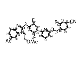 COCCn1c(Cc2cc(F)c(-c3cccc(OCc4ccc(C#N)cc4F)n3)cc2F)nc2ccc(C(C)=O)cc21